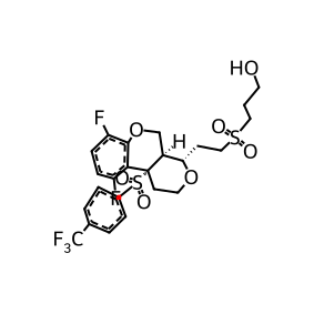 O=S(=O)(CCCO)CC[C@@H]1OCC[C@@]2(S(=O)(=O)c3ccc(C(F)(F)F)cc3)c3c(F)ccc(F)c3OC[C@@H]12